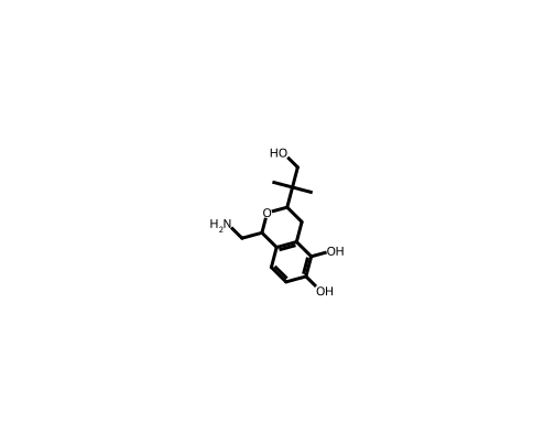 CC(C)(CO)C1Cc2c(ccc(O)c2O)C(CN)O1